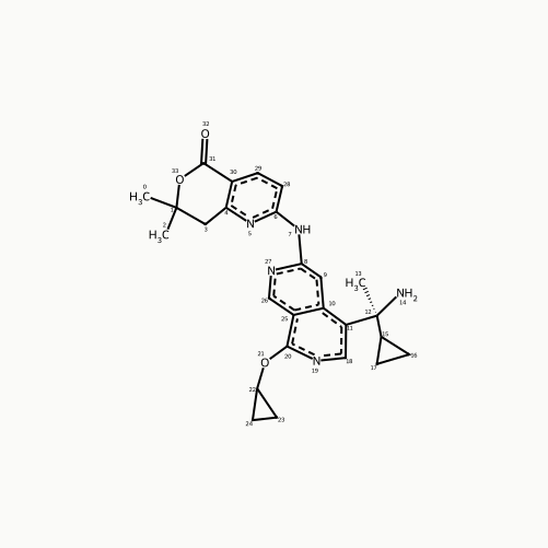 CC1(C)Cc2nc(Nc3cc4c([C@@](C)(N)C5CC5)cnc(OC5CC5)c4cn3)ccc2C(=O)O1